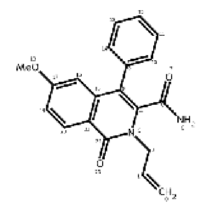 C=CCn1c(C(N)=O)c(-c2ccccc2)c2cc(OC)ccc2c1=O